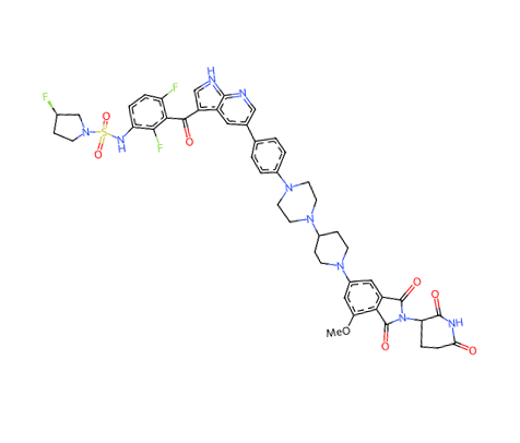 COc1cc(N2CCC(N3CCN(c4ccc(-c5cnc6[nH]cc(C(=O)c7c(F)ccc(NS(=O)(=O)N8CC[C@@H](F)C8)c7F)c6c5)cc4)CC3)CC2)cc2c1C(=O)N(C1CCC(=O)NC1=O)C2=O